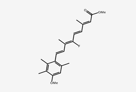 COC(=O)/C=C(C)/C=C/C(F)=C(C)/C=C/c1c(C)cc(OC)c(C)c1C